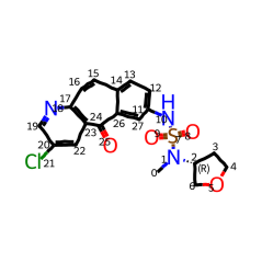 CN([C@@H]1CCOC1)S(=O)(=O)Nc1ccc2ccc3ncc(Cl)cc3c(=O)c2c1